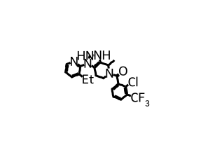 CCc1cccnc1N1NNC2=C1CCN(C(=O)c1cccc(C(F)(F)F)c1Cl)C2C